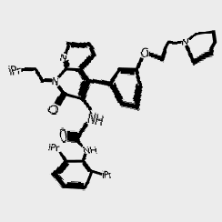 CC(C)CCn1c(=O)c(NC(=O)Nc2c(C(C)C)cccc2C(C)C)c(-c2cccc(OCCN3CCCCC3)c2)c2cccnc21